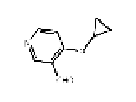 O=Cc1cnccc1OC1CC1